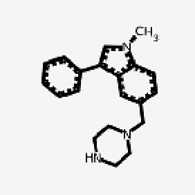 Cn1cc(-c2ccccc2)c2cc(CN3CCNCC3)ccc21